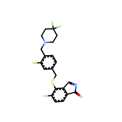 O=C1N=Cc2c1ccc(F)c2SCc1ccc(CN2CCC(F)(F)CC2)c(F)c1